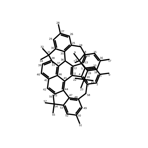 Cc1cc2c(c(C(C)(C)C)c1)C1=C3c4c(cc(C)cc4C(C)(C)C)Cc4cc(C)cc(C(C)(C)C)c4C3c3cccc4ccc(c1c34)-c1c(cc(C)cc1C(C)(C)C)C2